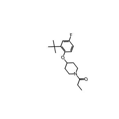 CCC(=O)N1CCC(Oc2ccc(F)cc2C(C)(C)C)CC1